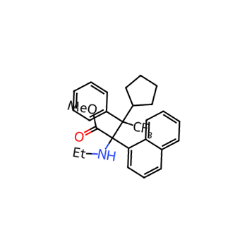 CCNC(C(=O)OC)(c1cccc2ccccc12)C(c1ccccc1)(C1CCCC1)C(F)(F)F